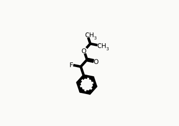 CC(C)OC(=O)C(F)c1ccccc1